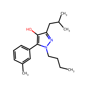 CCCCn1nc(CC(C)C)c(O)c1-c1cccc(C)c1